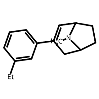 CCc1cccc(C2=CC3CCC(C2)N3C)c1